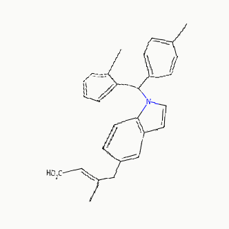 CC(=CC(=O)O)Cc1ccc2c(ccn2C(c2ccc(C)cc2)c2ccccc2C)c1